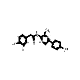 Cc1nc(-c2ccc(O)cc2)cnc1NC(=O)Cc1ccc(F)c(F)c1